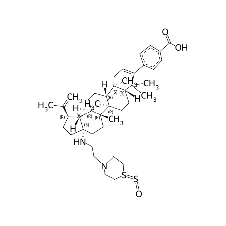 C=C(C)[C@@H]1CC[C@]2(NCCN3CCS(=S=O)CC3)CC[C@]3(C)[C@H](CC[C@@H]4[C@@]5(C)CC=C(c6ccc(C(=O)O)cc6)C(C)(C)[C@@H]5CC[C@]43C)[C@@H]12